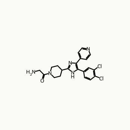 NCC(=O)N1CCC(c2nc(-c3ccncc3)c(-c3ccc(Cl)c(Cl)c3)[nH]2)CC1